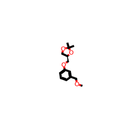 COCc1cccc(OC[C@H]2COC(C)(C)O2)c1